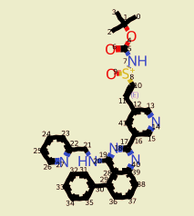 CC(C)(C)OC(=O)N[S+]([O-])/C=C/c1cncc(-c2nc(NCc3ccccn3)c3c(-c4ccccc4)cccc3n2)c1